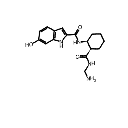 NCNC(=O)[C@@H]1CCCC[C@@H]1NC(=O)c1cc2ccc(O)cc2[nH]1